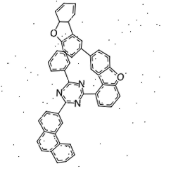 C1=CC2Oc3ccc(-c4ccc5oc6cccc(-c7nc(-c8ccccc8)nc(-c8ccc9ccc%10ccccc%10c9c8)n7)c6c5c4)cc3C2C=C1